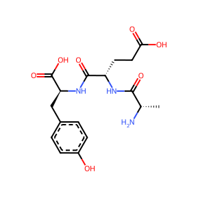 C[C@H](N)C(=O)N[C@@H](CCC(=O)O)C(=O)N[C@@H](Cc1ccc(O)cc1)C(=O)O